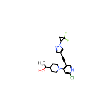 CC(O)C1CCN(c2cc(Cl)ncc2C#Cc2cnn(C3CC3(F)F)c2)CC1